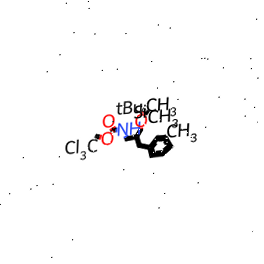 Cc1cccc(CC(CNC(=O)OCC(Cl)(Cl)Cl)CO[Si](C)(C)C(C)(C)C)c1